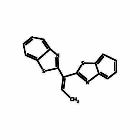 CC=C(c1nc2ccccc2s1)c1nc2ccccc2s1